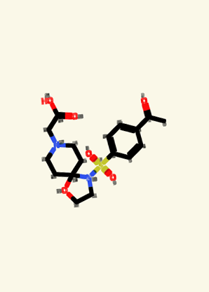 CC(=O)c1ccc(S(=O)(=O)N2CCOC23CCN(CC(=O)O)CC3)cc1